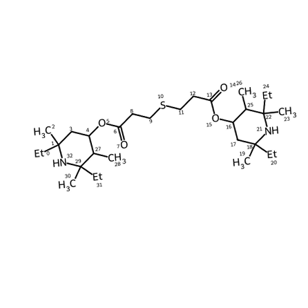 CCC1(C)CC(OC(=O)CCSCCC(=O)OC2CC(C)(CC)NC(C)(CC)C2C)C(C)C(C)(CC)N1